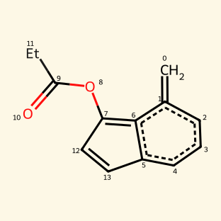 C=c1cccc2c1=C(OC(=O)CC)C=C2